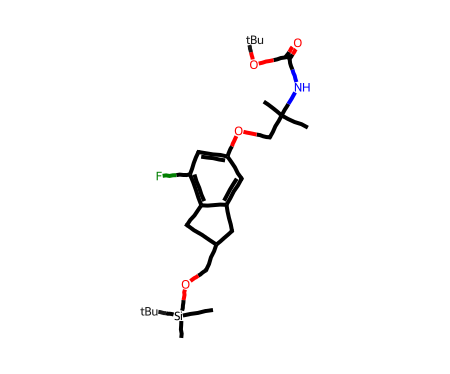 CC(C)(COc1cc(F)c2c(c1)CC(CO[Si](C)(C)C(C)(C)C)C2)NC(=O)OC(C)(C)C